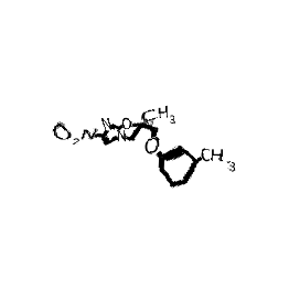 CC1=CCCC(OC[C@@]2(C)Cn3cc([N+](=O)[O-])nc3O2)=C1